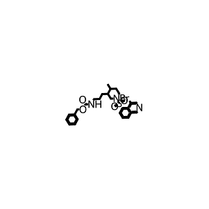 CC1CCN(S(=O)(=O)c2cccc3cncc(Br)c23)CC1CCCNC(=O)OCc1ccccc1